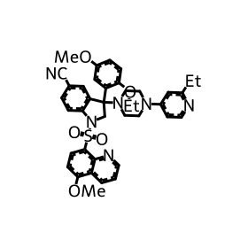 CCOc1ccc(OC)cc1C1(N2CCN(c3ccnc(CC)c3)CC2)CN(S(=O)(=O)c2ccc(OC)c3cccnc23)c2ccc(C#N)cc21